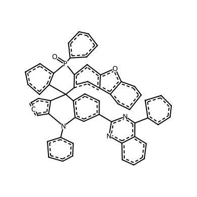 O=P1(c2ccccc2)c2ccccc2C2(c3ccccc3N(c3ccccc3)c3cc(-c4nc(-c5ccccc5)c5ccccc5n4)ccc32)c2cc3c(cc21)oc1ccccc13